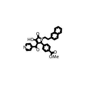 COC(=O)c1ccc(C2C(C(=O)c3ccncc3)=C(O)C(=O)N2CCc2ccc3ccccc3c2)cc1